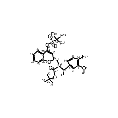 COc1cc([C@@H](C)N(C[C@H]2C=C(OS(=O)(=O)C(F)(F)F)c3ccccc3O2)C(=O)OC(C)(C)C)ccc1F